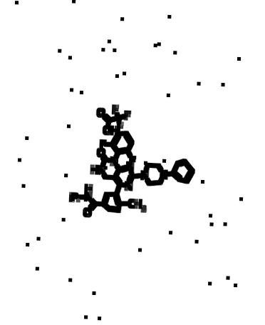 Cc1ccc(C(=O)NC(C)C)cc1-c1nc(N2CCN(c3ccccc3)CC2)nc2c1CNC(=O)N2c1c(F)cccc1F.O=C(O)C(F)(F)F